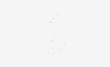 CCCCc1cccc2c1C(C(=O)N(CC(F)(F)C(F)(F)C(F)(F)F)N1CCC(N3Cc4ccccc4C3=O)C1)c1ccccc1-2